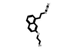 CC(C)CCOc1ccc2cccc(CCN=[N+]=[N-])c2c1